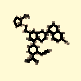 CN1CCC[C@H]1COc1nc2c(c(N3CCN(C(=O)O)C(CC#N)C3)n1)CCN(c1cncc3cc(F)ccc13)C2